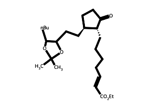 CCCCC1OC(C)(C)OC1CC[C@H]1CCC(=O)[C@@H]1CCCCC=CC(=O)OCC